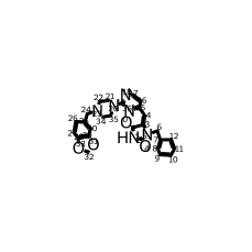 O=C1NC(=O)N(Cc2ccccc2)C1=Cc1ccnc(N2CCN(Cc3ccc4c(c3)OCO4)CC2)n1